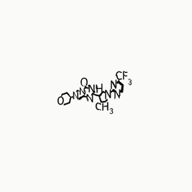 CC1CN(c2nccc(C(F)(F)F)n2)CC1C1=NC2=CN(C3CCOCC3)CN2C(=O)N1